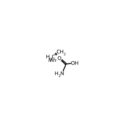 C=C.NC(=O)O.[Mn]